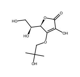 CC(C)(O)COC1=C(O)C(=O)O[C@@H]1[C@@H](O)CO